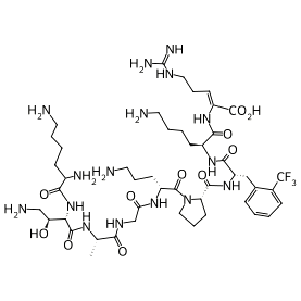 C[C@H](NC(=O)[C@@H](NC(=O)C(N)CCCCN)[C@@H](O)CN)C(=O)NCC(=O)N[C@H](CCCN)C(=O)N1CCC[C@H]1C(=O)N[C@@H](Cc1ccccc1C(F)(F)F)C(=O)N[C@@H](CCCCN)C(=O)N/C(=C\CCNC(=N)N)C(=O)O